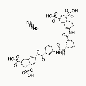 O=C(Nc1cccc(C(=O)Nc2ccc3c(S(=O)(=O)O)cc(S(=O)(=O)O)cc3c2)c1)Nc1cccc(C(=O)Nc2ccc3c(S(=O)(=O)O)cc(S(=O)(=O)O)cc3c2)c1.[Na].[Na].[Na].[Na]